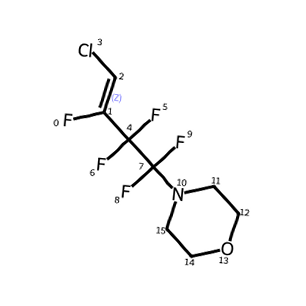 F/C(=C\Cl)C(F)(F)C(F)(F)N1CCOCC1